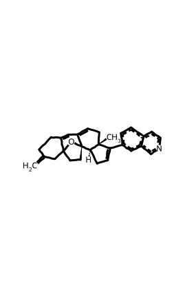 C=C1CCC2=CC3=CC[C@]4(C)C(c5ccc6ccncc6c5)=CC[C@H]4[C@@]34CCC2(C1)O4